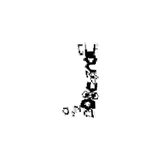 O=[N+]([O-])c1cc(S(=O)(=O)C2CCN(c3nc(Cc4ccc(F)c(Cl)c4)cs3)CC2)ccc1Cl